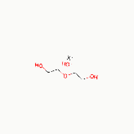 OCCOCCO.[K+].[OH-]